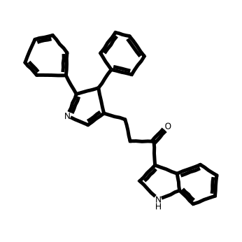 O=C(CCC1=CN=C(c2ccccc2)C1c1ccccc1)c1c[nH]c2ccccc12